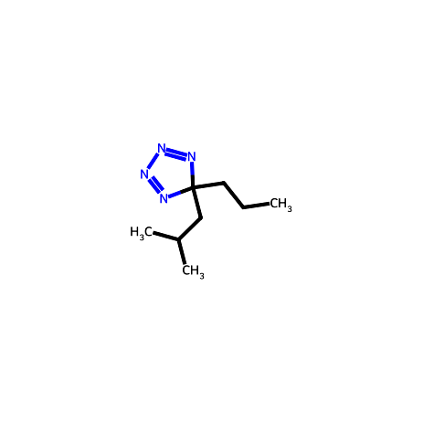 CCCC1(CC(C)C)N=NN=N1